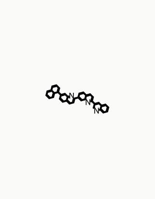 c1ccc2ncc(-c3ccc4ccc(-c5ccc6ccc(-c7cccc8ccccc78)cc6n5)cc4n3)cc2c1